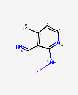 CC(C)c1ccnc(NI)c1C=N